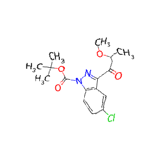 COC(C)C(=O)c1nn(C(=O)OC(C)(C)C)c2ccc(Cl)cc12